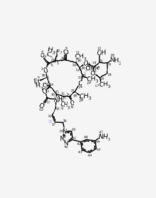 CC[C@H]1OC(=O)[C@@](C)(F)C(=O)[C@H](C)[C@@H](O[C@@H]2OC(C)CC(N)C2O)[C@](C)(OC)C[C@@H](C)C(=O)[C@H](C)[C@H]2N(C/C=C\Cn3cc(-c4cccc(N)c4)nn3)C(=O)O[C@]12C